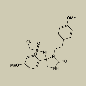 COc1ccc(CCN2C(=O)NCC2(NS(=O)(=O)CC#N)c2ccc(OC)cc2)cc1